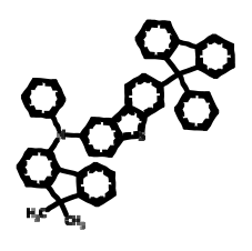 CC1(C)c2ccccc2-c2c(N(c3ccccc3)c3ccc4sc5cc(C6(c7ccccc7)c7ccccc7-c7ccccc76)ccc5c4c3)cccc21